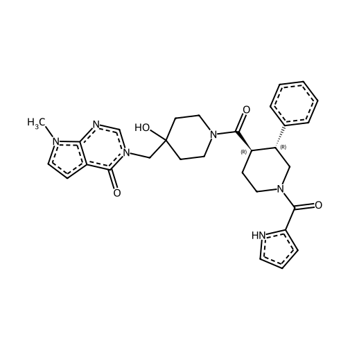 Cn1ccc2c(=O)n(CC3(O)CCN(C(=O)[C@@H]4CCN(C(=O)c5ccc[nH]5)C[C@H]4c4ccccc4)CC3)cnc21